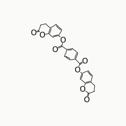 O=C1CCc2ccc(OC(=O)c3ccc(C(=O)Oc4ccc5c(c4)OC(=O)CC5)cc3)cc2O1